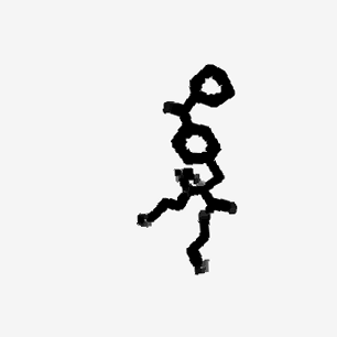 NN(CCCl)[C@@H](Cc1ccc(C(=O)c2ccccc2)cc1)C(=O)OCCCl